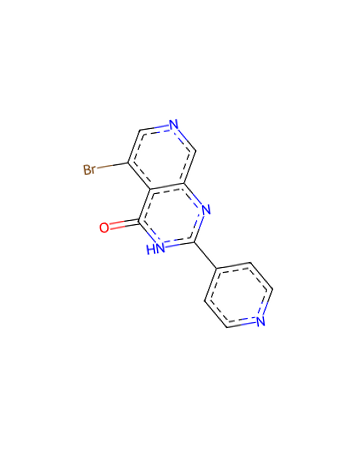 O=c1[nH]c(-c2ccncc2)nc2cncc(Br)c12